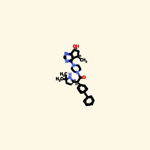 C[C@@H]1C[C@@H](O)c2ncnc(N3CCN(C(=O)[C@@H](c4ccc(-c5ccccc5)cc4)[C@@H]4CCC(C)(C)N4)CC3)c21